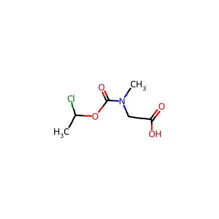 CC(Cl)OC(=O)N(C)CC(=O)O